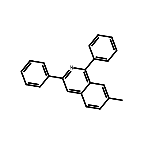 Cc1ccc2cc(-c3ccccc3)nc(-c3ccccc3)c2c1